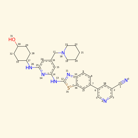 N#Cc1cncc(-c2ccc3nc(Nc4cc(CN5CCCCC5)cc(NC5CCC(O)CC5)n4)sc3c2)c1